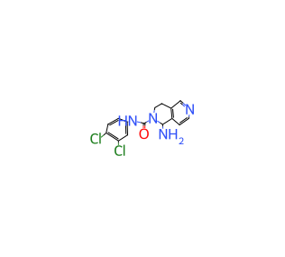 NC1c2ccncc2CCN1C(=O)Nc1ccc(Cl)c(Cl)c1